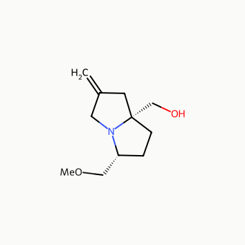 C=C1CN2[C@@H](COC)CC[C@]2(CO)C1